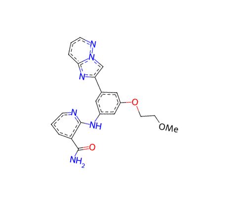 COCCOc1cc(Nc2ncccc2C(N)=O)cc(-c2cn3ncccc3n2)c1